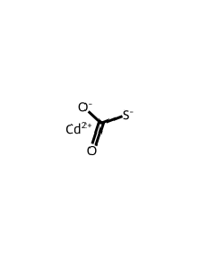 O=C([O-])[S-].[Cd+2]